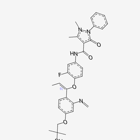 C=Nc1cc(OCC(C)(C)O)ccc1/C(=C\C)Oc1ccc(NC(=O)c2c(C)n(C)n(-c3ccccc3)c2=O)cc1F